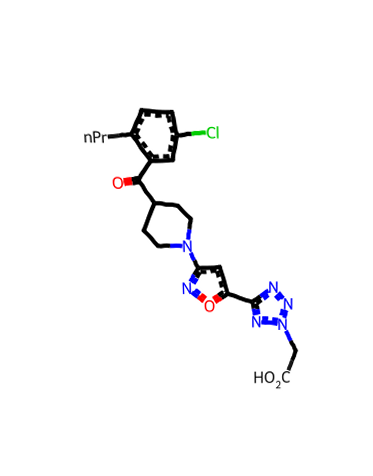 CCCc1ccc(Cl)cc1C(=O)C1CCN(c2cc(-c3nnn(CC(=O)O)n3)on2)CC1